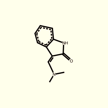 CN(C)C=C1C(=O)Nc2ccccc21